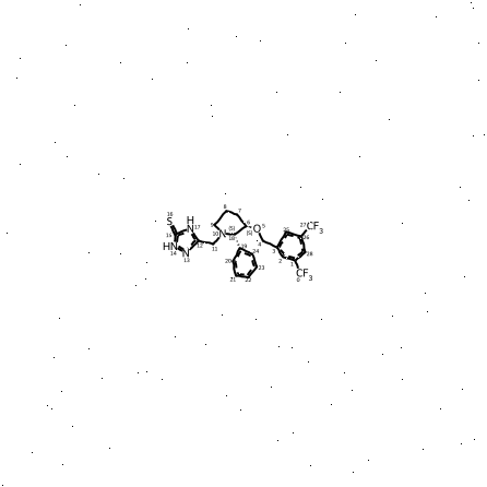 FC(F)(F)c1cc(CO[C@H]2CCCN(Cc3n[nH]c(=S)[nH]3)[C@H]2c2ccccc2)cc(C(F)(F)F)c1